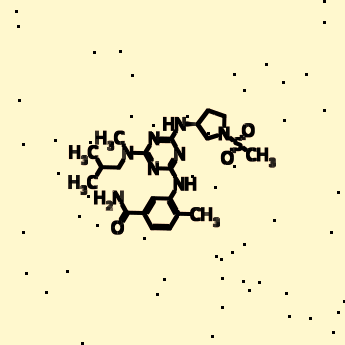 Cc1ccc(C(N)=O)cc1Nc1nc(N[C@H]2CCN(S(C)(=O)=O)C2)nc(N(C)CC(C)C)n1